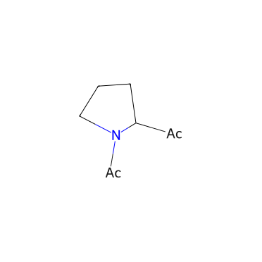 [CH2]C(=O)C1CCCN1C(C)=O